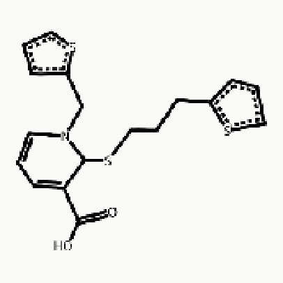 O=C(O)C1=CC=CN(Cc2cccs2)C1SCCCc1cccs1